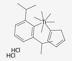 CC(C)c1cccc(C(C)C)[c]1[Ti]([CH3])([CH3])([CH3])([CH3])([CH3])[C]1=CC=CC1.Cl.Cl